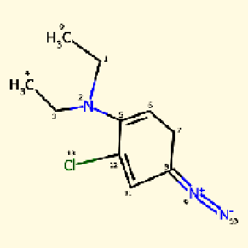 CCN(CC)C1=CCC(=[N+]=[N-])C=C1Cl